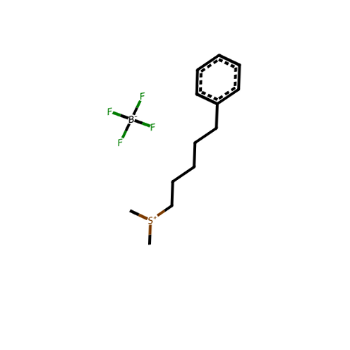 C[S+](C)CCCCCc1ccccc1.F[B-](F)(F)F